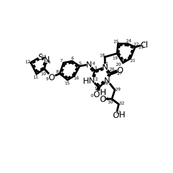 O=c1[nH]/c(=N\c2ccc(Oc3ccsn3)cc2)n(Cc2ccc(Cl)cc2)c(=O)n1CC(O)CO